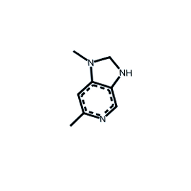 Cc1cc2c(cn1)NCN2C